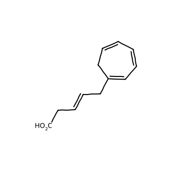 O=C(O)C/C=C/CC1=CC=CC=CC1